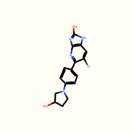 Oc1nc2nc(-c3ccc(N4CCC(O)C4)cc3)c(Cl)cc2[nH]1